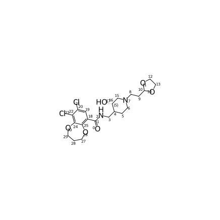 O=C(NCC1CCN(CCC2OCCO2)C[C@H]1O)c1cc(Cl)c(Cl)c2c1OCCCO2